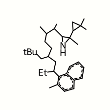 CCC(CC(CCC(C)C(C)C1NC1(C)C1CC1(C)C)CC(C)(C)C)c1c(C)ccc2ccccc12